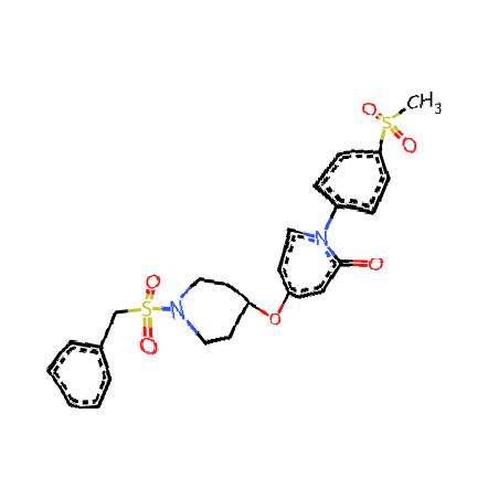 CS(=O)(=O)c1ccc(-n2ccc(OC3CCN(S(=O)(=O)Cc4ccccc4)CC3)cc2=O)cc1